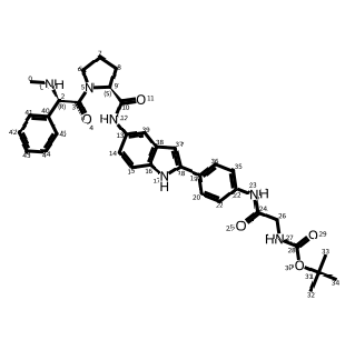 CN[C@@H](C(=O)N1CCC[C@H]1C(=O)Nc1ccc2[nH]c(-c3ccc(NC(=O)CNC(=O)OC(C)(C)C)cc3)cc2c1)c1ccccc1